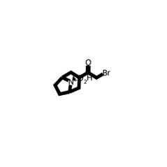 O=C(CBr)C1CC2CCC(C1)N2C(=O)O